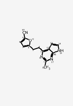 Cc1nc(CCc2ccc(C#N)o2)c2cc[nH]c2n1